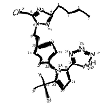 CCCCc1nc(Cl)n(Cc2ccc(-n3c(-c4nnn[nH]4)ccc3C(C)(C)C)cc2)n1